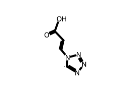 O=C(O)/C=C/n1[c]nnn1